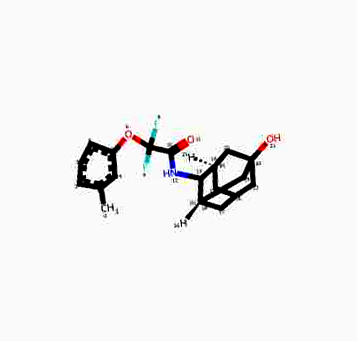 Cc1cccc(OC(F)(F)C(=O)NC2[C@@H]3CC4C[C@H]2CC(O)(C4)C3)c1